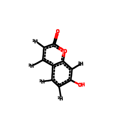 [2H]c1c(O)c([2H])c2oc(=O)c([2H])c([2H])c2c1[2H]